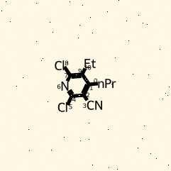 CCCc1c(C#N)c(Cl)nc(Cl)c1CC